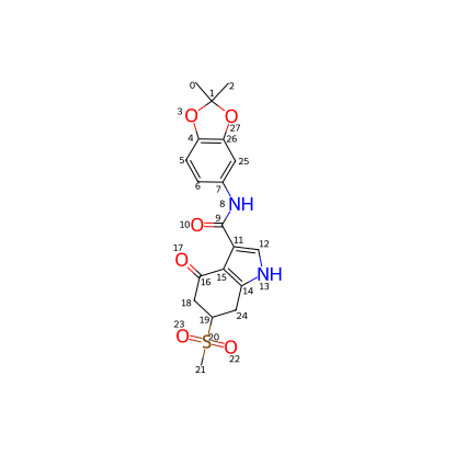 CC1(C)Oc2ccc(NC(=O)c3c[nH]c4c3C(=O)CC(S(C)(=O)=O)C4)cc2O1